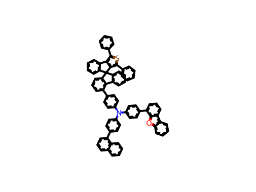 c1ccc(-c2sc(-c3ccccc3)c3c2-c2ccccc2C32c3ccccc3-c3c(-c4ccc(N(c5ccc(-c6cccc7ccccc67)cc5)c5ccc(-c6cccc7c6oc6ccccc67)cc5)cc4)cccc32)cc1